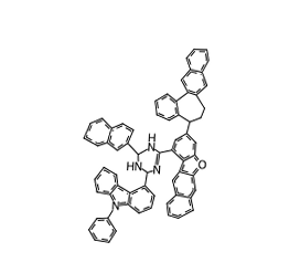 c1ccc(-n2c3ccccc3c3c(C4N=C(c5cc(C6CCc7cc8ccccc8cc7-c7ccccc76)cc6oc7cc8ccccc8cc7c56)NC(c5ccc6ccccc6c5)N4)cccc32)cc1